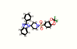 O=S(=O)(c1ccc2c(c1)OC(F)(F)O2)N1CCC(n2c(-c3ccccc3)nc3ccccc32)CC1